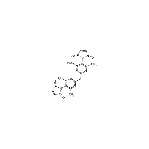 Cc1cc([CH]c2cc(C)c(N3C(=O)C=CC3=O)c(C)c2)cc(C)c1N1C(=O)C=CC1=O